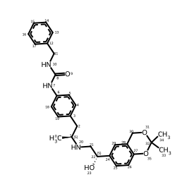 C[C@@H](Cc1ccc(NC(=O)NCc2ccccc2)cc1)NC[C@@H](O)c1ccc2c(c1)COC(C)(C)O2